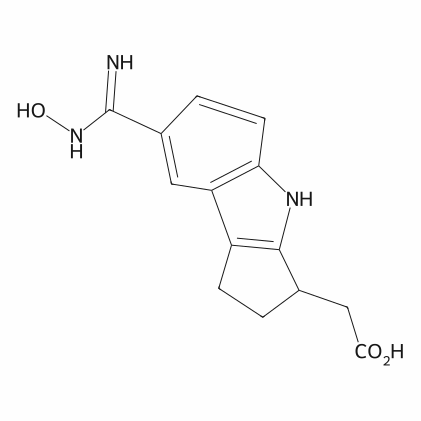 N=C(NO)c1ccc2[nH]c3c(c2c1)CCC3CC(=O)O